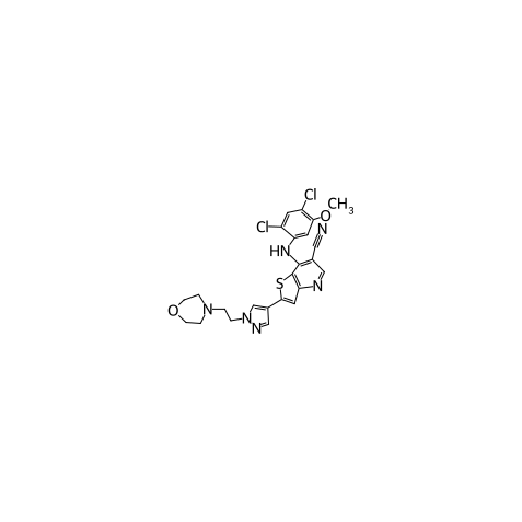 COc1cc(Nc2c(C#N)cnc3cc(-c4cnn(CCN5CCOCC5)c4)sc23)c(Cl)cc1Cl